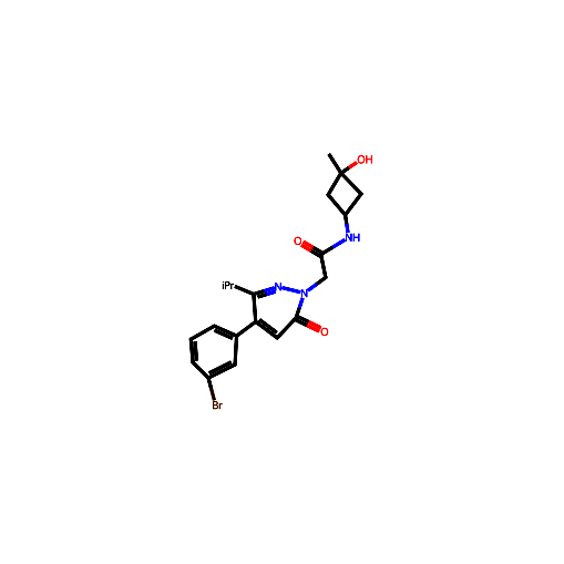 CC(C)c1nn(CC(=O)NC2CC(C)(O)C2)c(=O)cc1-c1cccc(Br)c1